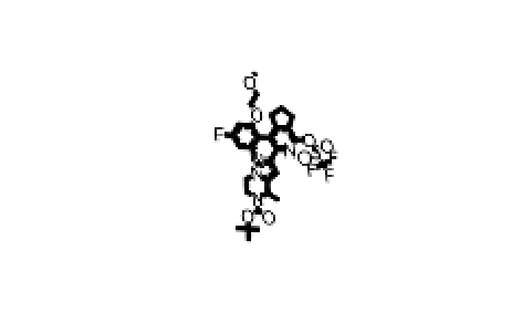 COCCOc1cc(F)cc(F)c1-c1c(-c2cc3n(n2)CCN(C(=O)OC(C)(C)C)C3C)nc(OS(=O)(=O)C(F)(F)F)c2c1CCC2